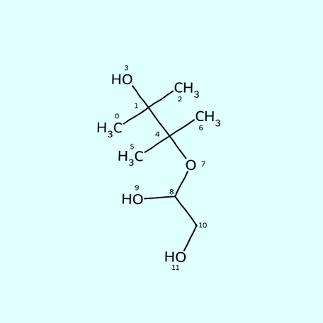 CC(C)(O)C(C)(C)OC(O)CO